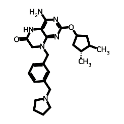 CC1CC(Oc2nc(N)c3c(n2)N(Cc2cccc(CN4CCCC4)c2)CC(=O)N3)C[C@H]1C